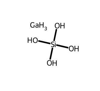 O[Si](O)(O)O.[GaH3]